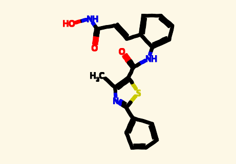 Cc1nc(-c2ccccc2)sc1C(=O)Nc1ccccc1C=CC(=O)NO